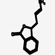 NC=CCC1OC(=O)c2ccccc21